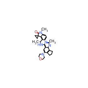 Cc1nc(N[C@H](C)c2cccc3c2C2(CC2)C(=O)N3C)c2cc(N3CCOCC3)c3c(c2n1)CCC3